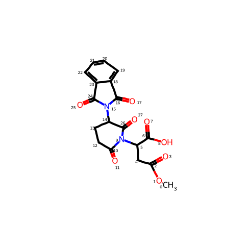 COC(=O)CC(C(=O)O)N1C(=O)CCC(N2C(=O)c3ccccc3C2=O)C1=O